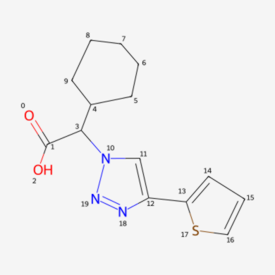 O=C(O)C(C1CCCCC1)n1cc(-c2cccs2)nn1